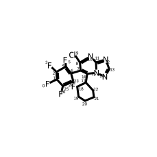 Fc1c(F)c(F)c(-c2c(Cl)nc3ncnn3c2C2CCCCC2)c(F)c1F